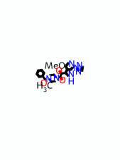 COc1cnc(-n2nccn2)c2[nH]cc(C(=O)C(=O)N3CCN(C(=O)c4ccccc4)C(C)C3)c12